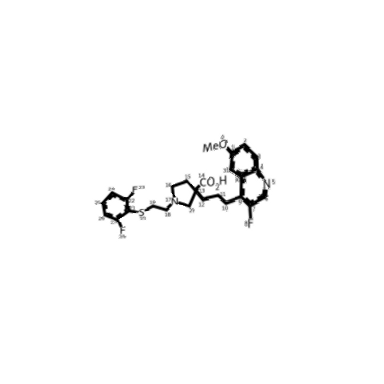 COc1ccc2ncc(F)c(CCCC3(C(=O)O)CCN(CCSc4c(F)cccc4F)C3)c2c1